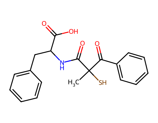 CC(S)(C(=O)NC(Cc1ccccc1)C(=O)O)C(=O)c1ccccc1